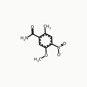 COc1cc(C(N)=O)c(C)cc1[N+](=O)[O-]